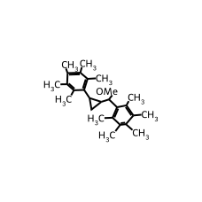 COC(c1c(C)c(C)c(C)c(C)c1C)C1CC1c1c(C)c(C)c(C)c(C)c1C